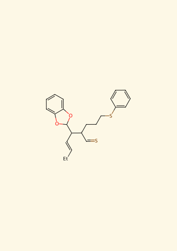 CCC=CC([C](C=S)CCCSc1ccccc1)C1Oc2ccccc2O1